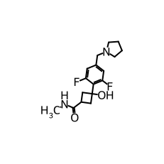 CNC(=O)C1CC(O)(c2c(F)cc(CN3CCCC3)cc2F)C1